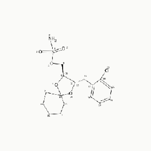 NS(=O)(=O)OC[C@@H]1OC2(CCCCC2)O[C@H]1Cc1ccccc1Cl